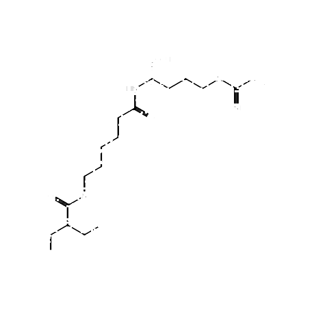 CC(C)CC(CS)C(=O)NCCCCCC(=O)N[C@@H](CCCNC(=N)N)C(=O)O